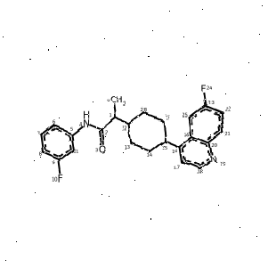 CC(C(=O)Nc1cccc(F)c1)C1CCC(c2ccnc3ccc(F)cc23)CC1